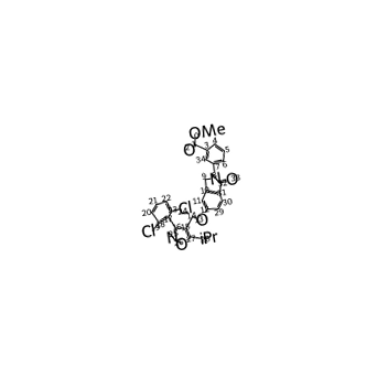 COC(=O)c1cccc(N2Cc3cc(OCc4c(-c5c(Cl)cccc5Cl)noc4C(C)C)ccc3C2=O)c1